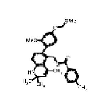 COCOc1ccc(-c2ccc3c(c2COC(=O)c2ccc(C)cc2)C(C)=CC(C)(C)N3)c(OC)c1